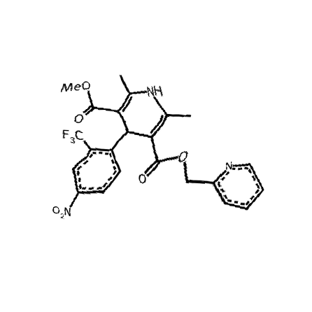 COC(=O)C1=C(C)NC(C)=C(C(=O)OCc2ccccn2)C1c1ccc([N+](=O)[O-])cc1C(F)(F)F